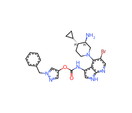 N[C@H]1CN(c2c(Br)cnc3[nH]cc(NC(=O)Oc4cnn(Cc5ccccc5)c4)c23)CC[C@@H]1C1CC1